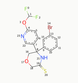 FC(F)Oc1ccc(C2(c3cccc(Br)c3)COCC(=S)N2)cn1